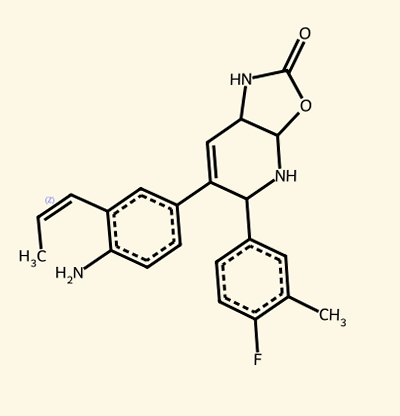 C/C=C\c1cc(C2=CC3NC(=O)OC3NC2c2ccc(F)c(C)c2)ccc1N